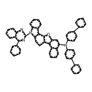 c1ccc(-c2ccc(N(c3ccc(-c4ccccc4)cc3)c3cc4oc5c(ccc6c5c5ccccc5n6-c5nc(-c6ccccc6)c6ccccc6n5)c4c4ccccc34)cc2)cc1